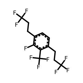 Fc1c(CCC(F)(F)F)ccc(CCC(F)(F)F)c1C(F)(F)F